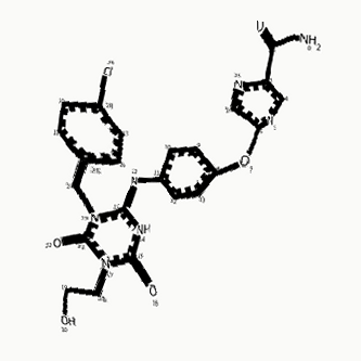 NC(=O)c1cnc(Oc2ccc(/N=c3\[nH]c(=O)n(CCO)c(=O)n3Cc3ccc(Cl)cc3)cc2)cn1